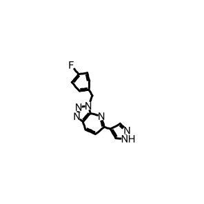 Fc1ccc(Cn2nnc3ccc(-c4cn[nH]c4)nc32)cc1